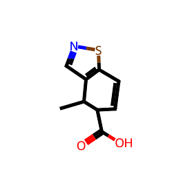 CC1c2cnsc2C=CC1C(=O)O